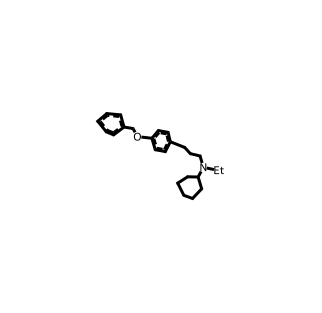 CCN(CCCc1ccc(OCc2ccccc2)cc1)C1CCCCC1